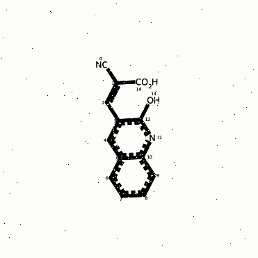 N#C/C(=C/c1cc2ccccc2nc1O)C(=O)O